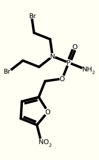 NP(=O)(OCc1ccc([N+](=O)[O-])o1)N(CCBr)CCBr